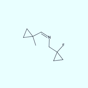 CC1(/C=N\CC2(F)CC2)CC1